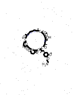 CO[C@H]1C[C@@H]2CC[C@@H](C)[C@@](O)(O2)C(=O)C(=O)N2CCCC[C@H]2C(=O)O[C@H]([C@H](C)C[C@@H]2CC[C@@H](OCCN)[C@H](OC)C2)CC(=O)[C@H](C)/C=C(\C)[C@@H](O)[C@@H](OC)C(=O)[C@H](C)C[C@H](C)/C=C/C=C/C=C/1C